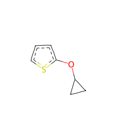 c1csc(OC2CC2)c1